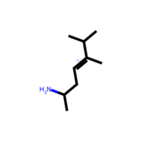 C/C(=C\CC(C)N)C(C)C